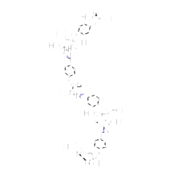 CCCCC(C)(N=[N+]=[N-])Oc1ccc(/C=N/N(C)[PH](=S)C(C)(CCC)Oc2ccc(/C=N/N(C)[PH](=S)Oc3ccc(/C=N/N(C)[PH](=S)C(C)(CC)Oc4ccc(CP(=O)(O)O)cc4)cc3)cc2)cc1